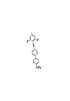 CCCc1ccc(-c2ccc(C#Cc3c(F)cc(C)cc3F)cc2)cc1